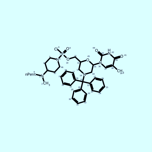 CCCCCN(C)C1CCN(P(=O)(Cl)OCC2CN(C(c3ccccc3)(c3ccccc3)c3ccccc3)CC(n3cc(C)c(=O)[nH]c3=O)O2)CC1